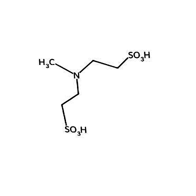 CN(CCS(=O)(=O)O)CCS(=O)(=O)O